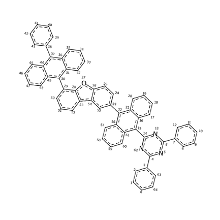 c1ccc(-c2nc(-c3ccccc3)nc(-c3c4ccccc4c(-c4ccc5oc6c(-c7c8ccccc8c(-c8ccccc8)c8ccccc78)cccc6c5c4)c4ccccc34)n2)cc1